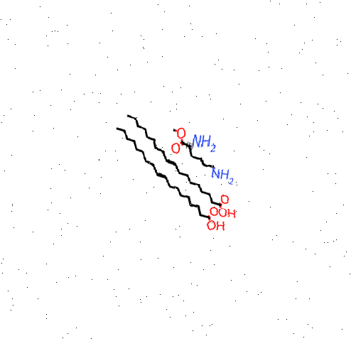 CCCCCCCCC=CCCCCCCCC(=O)O.CCCCCCCCC=CCCCCCCCC(=O)O.COC(=O)[C@@H](N)CCCCN